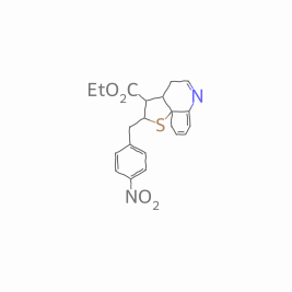 CCOC(=O)C1C(Cc2ccc([N+](=O)[O-])cc2)SC23CC=CC=C2N=CCC13